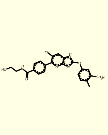 Cc1ccc(Oc2nc3nc(-c4ccc(C(=O)NCCO)cc4)c(Cl)cc3[nH]2)cc1C(=O)O